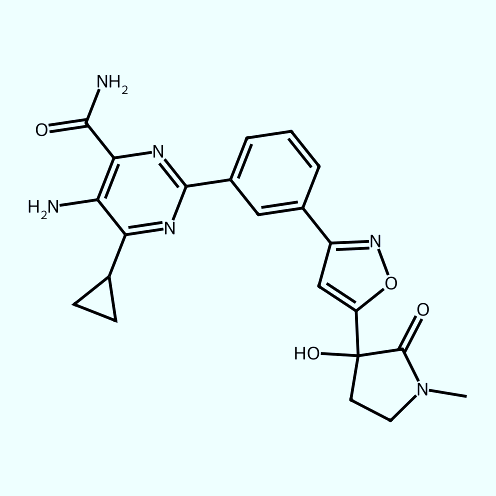 CN1CCC(O)(c2cc(-c3cccc(-c4nc(C(N)=O)c(N)c(C5CC5)n4)c3)no2)C1=O